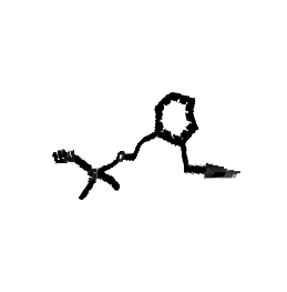 CC(C)(C)[Si](C)(C)OCc1ccccc1CBr